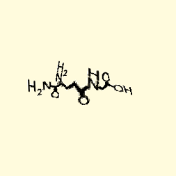 NC(=O)[C@@H](N)CCC(=O)NCC(=O)O